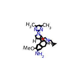 COc1cc2c(cc1N)C[C@H]1N(CC3CC3)CC[C@@]23C2C4CC[C@@]13C[C@@H]2CN4c1nc(C)cc(C)n1